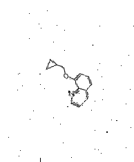 c1cnc2c(OCC3CC3)cccc2c1